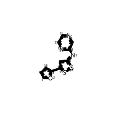 c1coc(-c2c/c(=N\c3cnccn3)ss2)c1